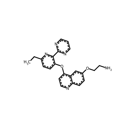 CCc1ccc(Oc2ccnc3ccc(OCCN)cc23)c(-c2ncccn2)n1